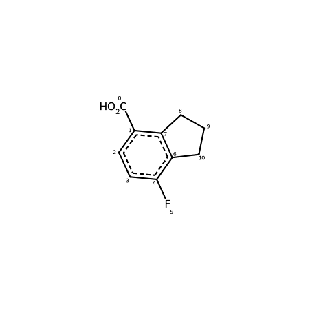 O=C(O)c1ccc(F)c2c1CCC2